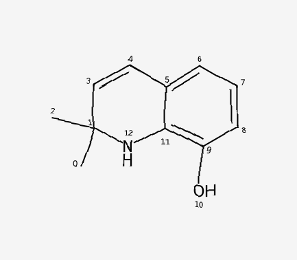 CC1(C)C=Cc2cccc(O)c2N1